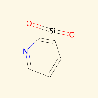 O=[Si]=O.c1ccncc1